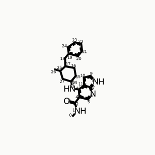 CNC(=O)c1cnc2[nH]ccc2c1N[C@@H]1CCC(Cc2ccccc2)C(C)C1